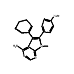 CNc1ccc(-c2c(C3=CCCCC3)c3c(N)ncnc3n2C)cc1